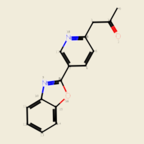 CC(=O)Cc1ccc(-c2nc3ccccc3o2)cn1